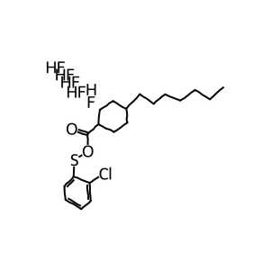 CCCCCCCC1CCC(C(=O)OSc2ccccc2Cl)CC1.F.F.F.F.F